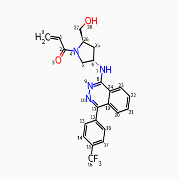 C=CC(=O)N1C[C@@H](Nc2nnc(-c3ccc(C(F)(F)F)cc3)c3ccccc23)C[C@@H]1CO